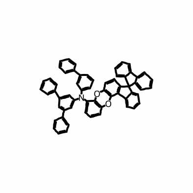 c1ccc(-c2cccc(N(c3cc(-c4ccccc4)cc(-c4ccccc4)c3)c3cccc4c3Oc3ccc5c(c3O4)-c3ccccc3C53c4ccccc4-c4ccccc43)c2)cc1